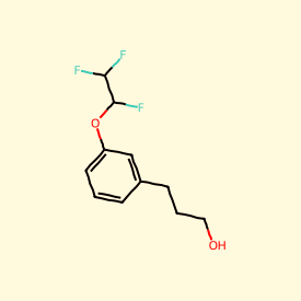 OCCCc1cccc(OC(F)C(F)F)c1